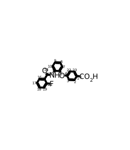 O=C(O)c1ccc(Oc2ccccc2NC(=O)c2ccccc2F)cc1